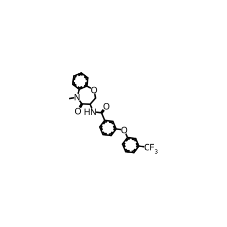 CN1C(=O)C(NC(=O)c2cccc(Oc3cccc(C(F)(F)F)c3)c2)COc2ccccc21